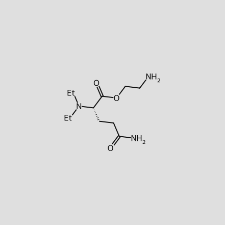 CCN(CC)[C@@H](CCC(N)=O)C(=O)OCCN